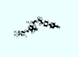 CC(CC(=O)N1CCN(c2ccc(C#N)cn2)CC1)OCC(C)Oc1cnn(COCC[Si](C)(C)C)c(=O)c1C(F)(F)F